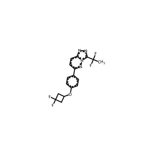 CC(F)(F)c1nnc2ccc(-c3ccc(OC4CC(F)(F)C4)cc3)nn12